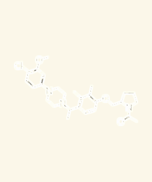 COc1cc(N2CCN(C(C)c3ccc(OCC4CCCN4C(C)=O)c(C)c3C)CC2)ccc1Cl